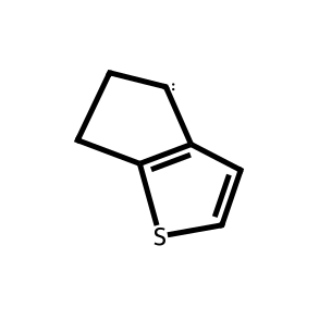 [C]1CCc2sccc21